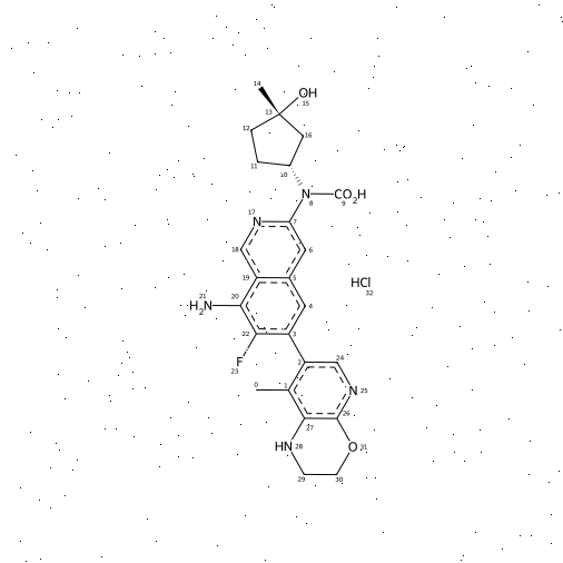 Cc1c(-c2cc3cc(N(C(=O)O)[C@@H]4CC[C@](C)(O)C4)ncc3c(N)c2F)cnc2c1NCCO2.Cl